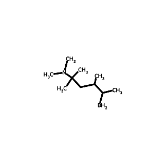 BC(C)C(C)CC(C)(C)N(C)C